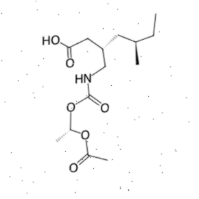 CC[C@@H](C)C[C@H](CNC(=O)O[C@@H](C)OC(C)=O)CC(=O)O